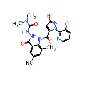 Cc1cc(C#N)cc(C(=O)NNC(=O)N(C)C)c1NC(=O)c1cc(Br)nn1-c1ncccc1Cl